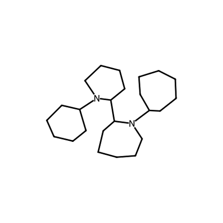 C1CCCC(N2CCCCCC2C2CCCCN2C2CCCCC2)CC1